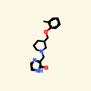 Cc1ccccc1OCC1CCCN(Cc2ncc[nH]c2=O)C1